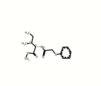 CC[C@H](C)[C@H](NC(=O)CSc1ccccc1)C(=O)OC